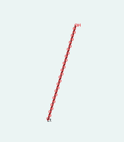 [CH2]COCCOCCOCCOCCOCCOCCOCCOCCOCCOCCOCCOCCOCCOCCOCCOCCOCCOCCOCCOCCOCCOCCOCCOCCOCCOCCOCCO